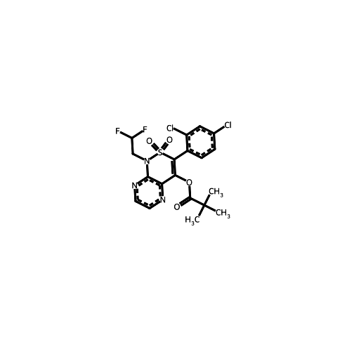 CC(C)(C)C(=O)OC1=C(c2ccc(Cl)cc2Cl)S(=O)(=O)N(CC(F)F)c2nccnc21